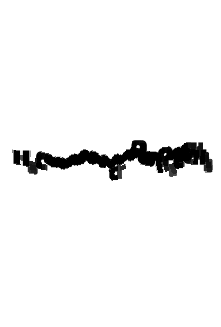 CCCCCCCCC=CCCCCCCCC(=O)OCCOCC[N+](C)(C)C.[Cl-]